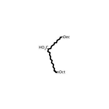 CCCCCCCC/C=C\CCCCCCCCCCC(CCCCCCCCCCCCCCCCCC)C(=O)O